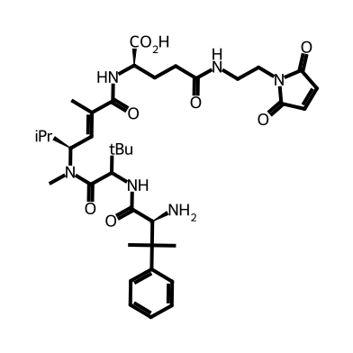 C/C(=C\[C@H](C(C)C)N(C)C(=O)C(NC(=O)[C@@H](N)C(C)(C)c1ccccc1)C(C)(C)C)C(=O)N[C@H](CCC(=O)NCCN1C(=O)C=CC1=O)C(=O)O